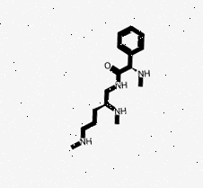 CNCCC[C@@H](CNC(=O)[C@@H](NC)c1ccccc1)NC